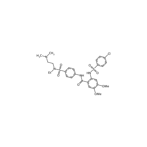 CCN(CCN(C)C)S(=O)(=O)c1ccc(NC(=O)c2cc(OC)c(OC)cc2NS(=O)(=O)c2ccc(Cl)cc2)cc1